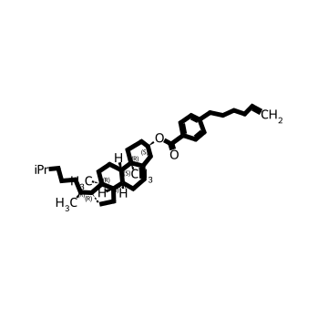 C=CCCCCc1ccc(C(=O)O[C@H]2CC[C@@]3(C)C(=CC[C@H]4[C@@H]5CC[C@H]([C@H](C)CCCC(C)C)[C@@]5(C)CC[C@@H]43)C2)cc1